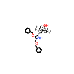 CC(C)(CC[C@@H]1N[C@@H](COCc2ccccc2)[C@@H]1OCc1ccccc1)[Si](C)(C)O